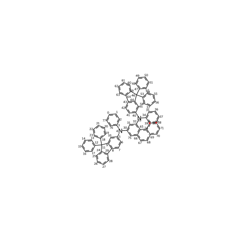 c1ccc(N(c2ccc3c(c2)C(c2ccccc2)(c2ccccc2)c2ccccc2-3)c2cc(N(c3ccccc3)c3ccc4c(c3)C(c3ccccc3)(c3ccccc3)c3ccccc3-4)c3c(ccc4ccccc43)c2)cc1